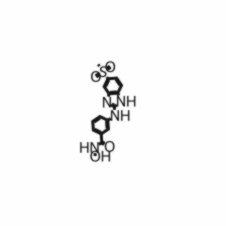 CS(=O)(=O)c1ccc2[nH]c(Nc3cccc(C(=O)NO)c3)nc2c1